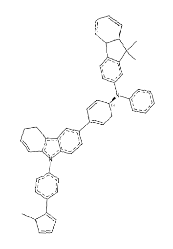 CC1C=CC=C1c1ccc(-n2c3c(c4cc(C5=CC[C@H](N(c6ccccc6)c6ccc7c(c6)C(C)(C)C6C=CC=CC76)C=C5)ccc42)CCC=C3)cc1